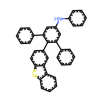 c1ccc(Nc2cc(-c3ccccc3)c(-c3ccc4sc5ccccc5c4c3)c(-c3ccccc3)c2)cc1